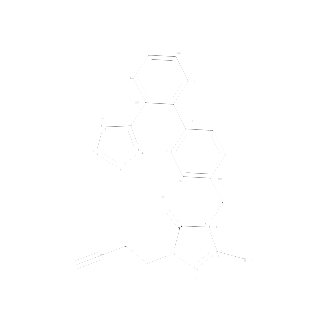 C#CCCn1nc(C(C)CC)n(Cc2ccc(-c3ccccc3-c3nnn[nH]3)cc2)c1=O